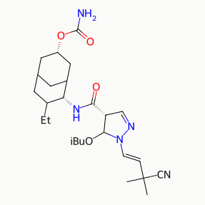 CCC1CC2CC(C[C@@H](OC(N)=O)C2)[C@@H]1NC(=O)[C@@H]1C=NN(/C=C/C(C)(C)C#N)C1OCC(C)C